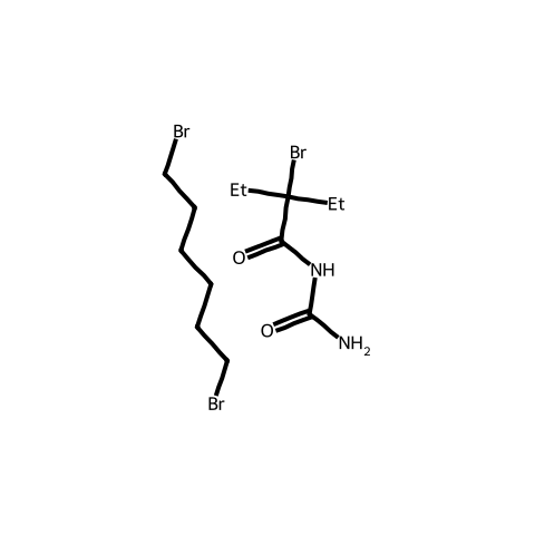 BrCCCCCCBr.CCC(Br)(CC)C(=O)NC(N)=O